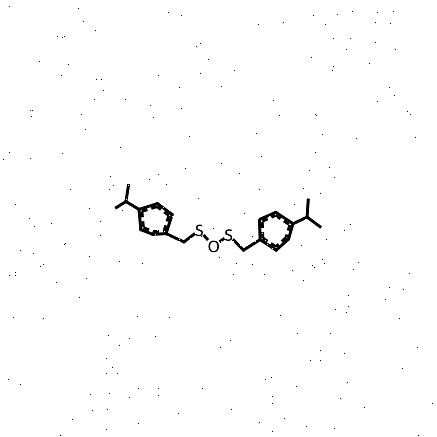 CC(C)c1ccc(CSOSCc2ccc(C(C)C)cc2)cc1